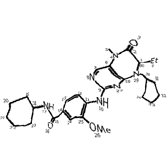 CC[C@@H]1C(=O)N(C)c2cnc(Nc3ccc(C(=O)NC4CCCCC4)cc3OC)nc2N1C1CCCC1